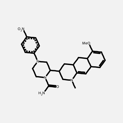 COC1=CC=CC2C=C3C(CC(C4CN(c5ccc([N+](=O)[O-])cc5)CCN4C(N)=O)CN3C)CC12